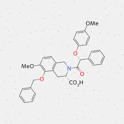 COc1ccc(O[C@@H](C(=O)N2Cc3ccc(OC)c(OCc4ccccc4)c3C[C@H]2C(=O)O)c2ccccc2)cc1